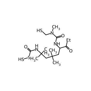 CCC(=O)C(CC(C)(C)CC(C)(C)NC(=O)SS)NC(=O)N(C)CS